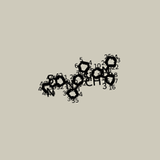 C[Si](c1ccccc1)(c1ccc2c(c1)c1ccccc1n2-c1ccccc1)c1ccc2c(c1)c1ccccc1n2-c1ccc2sc3cccnc3c2c1